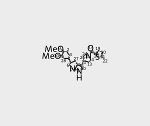 COc1ccc(-c2cnc3[nH]cc(C4=CCN(C(=O)c5ccc(C)s5)CC4)c3c2)cc1OC